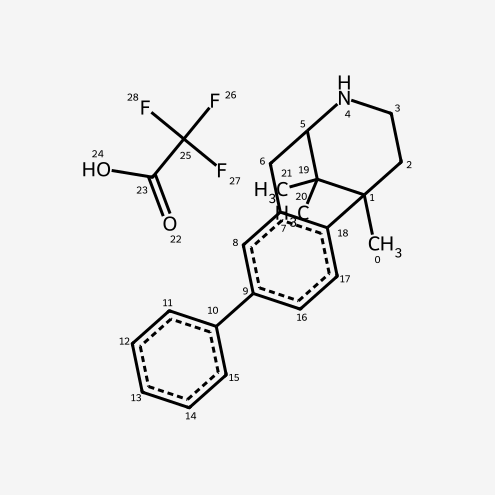 CC12CCNC(Cc3cc(-c4ccccc4)ccc31)C2(C)C.O=C(O)C(F)(F)F